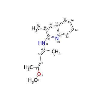 CO/C(C)=C/C=C(\C)Nc1nc2ccccc2cc1C